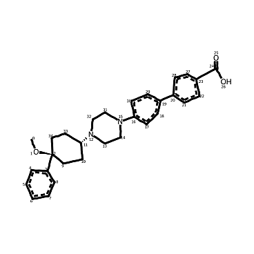 CO[C@]1(c2ccccc2)CC[C@@H](N2CCN(c3ccc(-c4ccc(C(=O)O)cc4)cc3)CC2)CC1